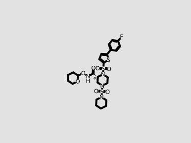 O=C(NOC1CCCCO1)[C@H]1CN(S(=O)(=O)N2CCCCC2)CCN1S(=O)(=O)c1ccc(-c2ccc(F)cc2)s1